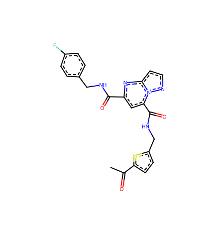 CC(=O)c1ccc(CNC(=O)c2cc(C(=O)NCc3ccc(F)cc3)nc3ccnn23)s1